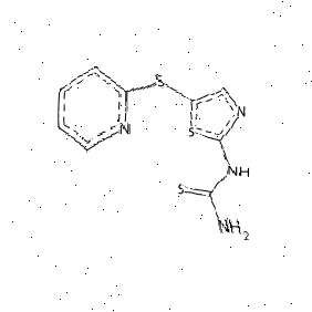 NC(=S)Nc1ncc(Sc2ccccn2)s1